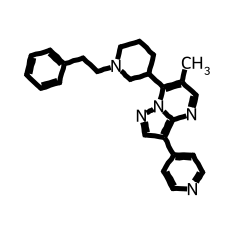 Cc1cnc2c(-c3ccncc3)cnn2c1C1CCCN(CCc2ccccc2)C1